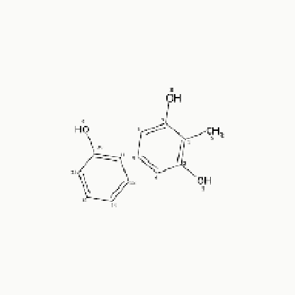 Cc1c(O)cccc1O.Oc1ccccc1